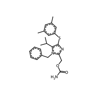 Cc1cc(C)cc(Sc2nc(COC(N)=O)n(Cc3ccccc3)c2C(C)C)c1